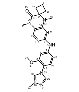 COc1cc(Nc2ncc3c(n2)N(C)C2(CCC2)C(=O)N3C)ccc1-n1cnc(C)c1